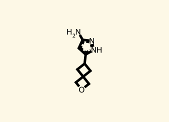 Nc1cc(C2CC3(COC3)C2)[nH]n1